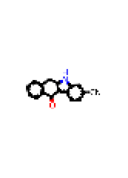 N#Cc1ccc2c3c([nH]c2c1)Cc1ccccc1C3=O